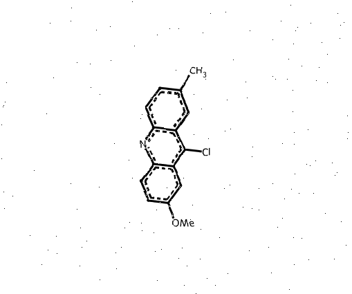 COc1ccc2nc3ccc(C)cc3c(Cl)c2c1